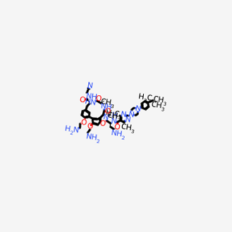 Cc1nc(N2CCN(c3ccc(C(C)(C)C)cc3)CC2)nc(C)c1C(=O)N[C@@H](CCN)C(=O)N(C)[C@@H]1C(=O)N[C@@H](C)C(=O)N[C@H](C(=O)NCC#N)Cc2ccc(OCCN)c(c2)-c2cc1ccc2OCCN